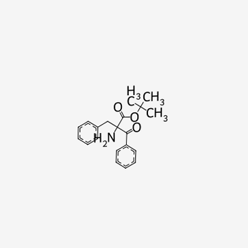 CC(C)(C)OC(=O)C(N)(Cc1ccccc1)C(=O)c1ccccc1